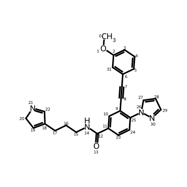 COc1cccc(C#Cc2cc(C(=O)NCCCC3=CCN=C3)ccc2-n2cccn2)c1